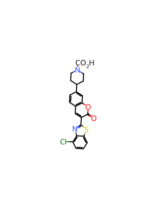 O=C(O)N1CCC(c2ccc3cc(-c4nc5c(Cl)cccc5s4)c(=O)oc3c2)CC1